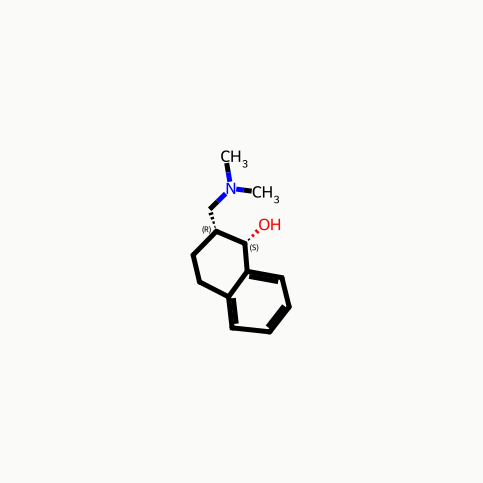 CN(C)C[C@H]1CCc2ccccc2[C@H]1O